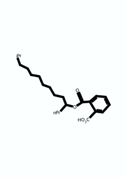 CCCC(CCCCCCCCC(C)C)OC(=O)c1ccccc1C(=O)O